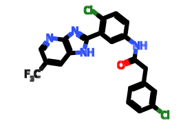 O=C(Cc1cccc(Cl)c1)Nc1ccc(Cl)c(-c2nc3ncc(C(F)(F)F)cc3[nH]2)c1